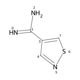 N=C(N)c1cnsc1